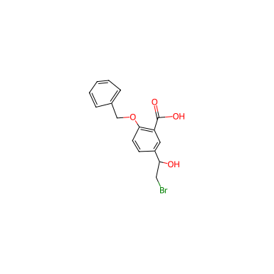 O=C(O)c1cc(C(O)CBr)ccc1OCc1ccccc1